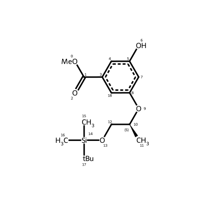 COC(=O)c1cc(O)cc(O[C@@H](C)CO[Si](C)(C)C(C)(C)C)c1